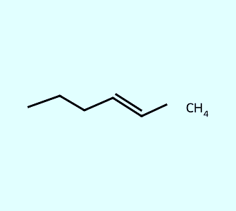 C.CC=CCCC